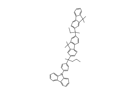 CCCC(C)(c1ccc(-n2c3ccccc3c3ccccc32)cc1)c1ccc2c(c1)C(C)(C)c1cc(C(C)(CC)c3ccc4c(c3)C(C)(C)c3ccccc3-4)ccc1-2